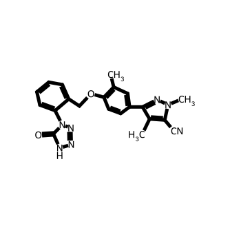 Cc1cc(-c2nn(C)c(C#N)c2C)ccc1OCc1ccccc1-n1nn[nH]c1=O